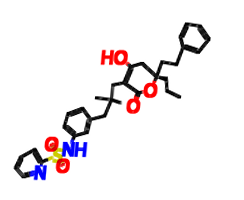 CCC[C@]1(CCc2ccccc2)CC(O)=C(CC(C)(C)Cc2cccc(NS(=O)(=O)c3ccccn3)c2)C(=O)O1